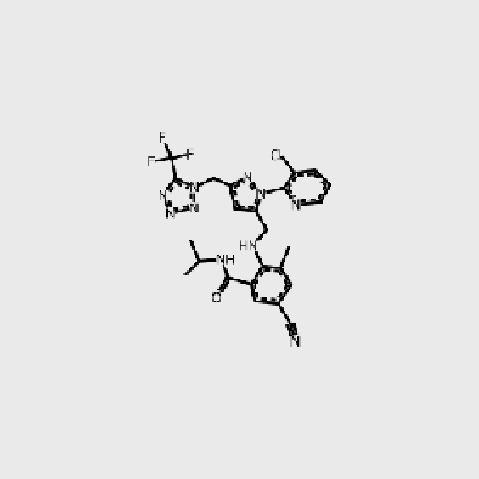 Cc1cc(C#N)cc(C(=O)NC(C)C)c1NCc1cc(Cn2nnnc2C(F)(F)F)nn1-c1ncccc1Cl